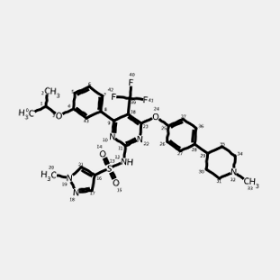 CC(C)Oc1cccc(-c2nc(NS(=O)(=O)c3cnn(C)c3)nc(Oc3ccc(C4CCN(C)CC4)cc3)c2C(F)(F)F)c1